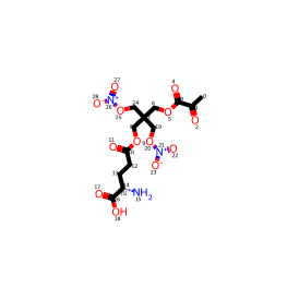 CC(=O)C(=O)OCC(COC(=O)CC[C@H](N)C(=O)O)(CO[N+](=O)[O-])CO[N+](=O)[O-]